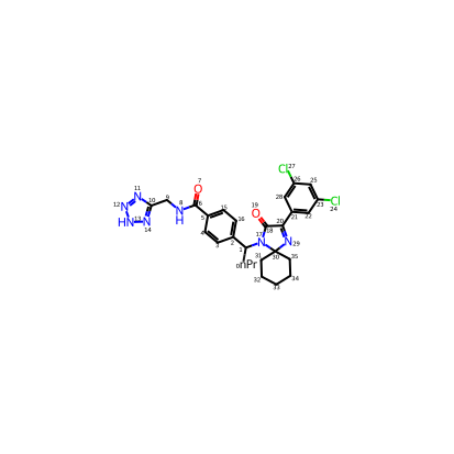 CCCC(c1ccc(C(=O)NCc2nn[nH]n2)cc1)N1C(=O)C(c2cc(Cl)cc(Cl)c2)=NC12CCCCC2